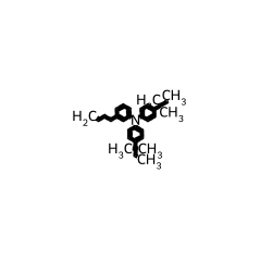 C=CCCc1cccc(N(c2ccc(C(C)(C)CC)cc2)c2ccc(C(C)(C)CC)cc2)c1